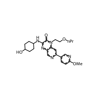 CCCOCCn1c(=O)c(NC2CCC(O)CC2)nc2cnc(-c3ccc(OC)nc3)cc21